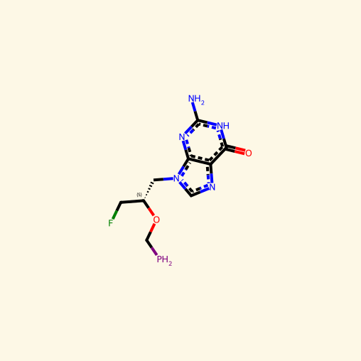 Nc1nc2c(ncn2C[C@@H](CF)OCP)c(=O)[nH]1